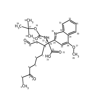 CCC(=O)CCCCC(CC=O)[C@@](NC(=O)OC(C)(C)C)(C(=O)O)c1cc(OC)c2ccccc2n1